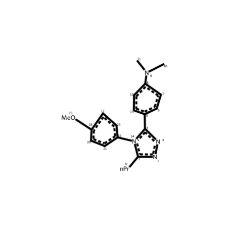 CCCc1nnc(-c2ccc(N(C)C)cc2)n1-c1ccc(OC)cc1